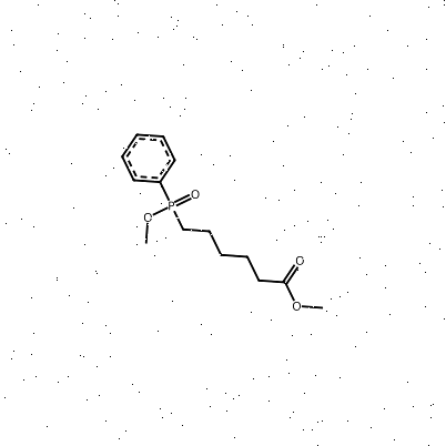 COC(=O)CCCCCP(=O)(OC)c1ccccc1